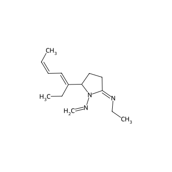 C=NN1/C(=N\CC)CCC1/C(=C/C=C\C)CC